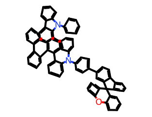 c1ccc(-c2ccccc2-c2ccccc2-c2ccccc2N(c2ccc(-c3ccc4c(c3)C3(c5ccccc5Oc5ccccc53)c3ccccc3-4)cc2)c2cccc(-c3cccc4c5ccccc5n(-c5ccccc5)c34)c2)cc1